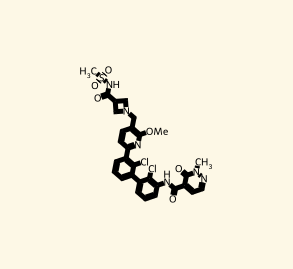 COc1nc(-c2cccc(-c3cccc(NC(=O)c4ccnn(C)c4=O)c3Cl)c2Cl)ccc1CN1CC(C(=O)NS(C)(=O)=O)C1